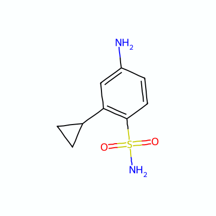 Nc1ccc(S(N)(=O)=O)c(C2CC2)c1